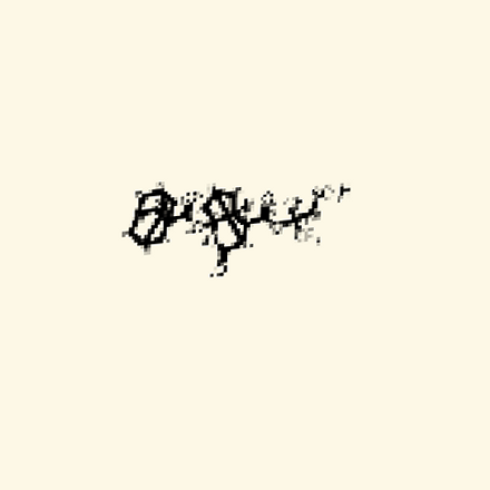 O=C1OC2(OC(=O)C34CC5CC(CC(C5)C3)C4)CC3C[C@@H]2C(C(=O)OC(CS(=O)(=O)O)(C(F)(F)F)C(F)(F)F)C13